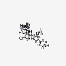 CN/C=C(/Nc1nc(Nc2ccc(C3=CCNCC3)cc2OC2CC2)ncc1Cl)C(=N)S(=O)(=O)C(C)C